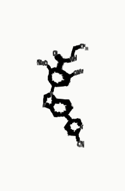 COc1cc(-n2cnc3cc(-c4ccc(C#N)nc4)ccc32)cc(OC)c1C(=O)NCC(F)(F)F